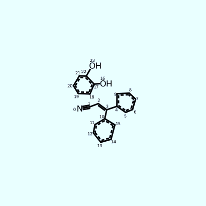 N#CC=C(c1ccccc1)c1ccccc1.Oc1ccccc1O